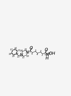 O=C(CCCCCC(=O)N1CCN(Cc2ccccc2)CC1)NO